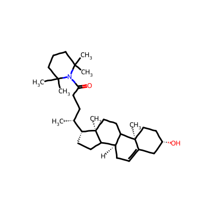 C[C@H](CCC(=O)N1C(C)(C)CCCC1(C)C)[C@H]1CCC2[C@@H]3CC=C4C[C@@H](O)CC[C@]4(C)C3CC[C@@]21C